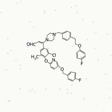 Cc1cc(/C(=C\C=O)N2CCN(Cc3ccc(CCOc4ccc(F)cc4)cc3)CC2)cc(Cl)c1Oc1ccc(OCc2ccc(F)cc2)cn1